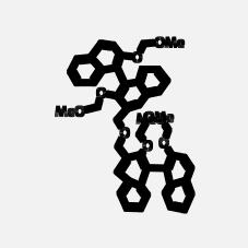 COCOc1ccc2ccccc2c1-c1c(OCOC)c(COCc2cc3ccccc3c(-c3c(OCOC)ccc4ccccc34)c2OCOC)cc2ccccc12